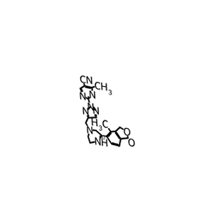 Cc1nc(-n2ncc(CN3CCN[C@H](c4ccc5c(c4C)COC5=O)C3)n2)ncc1C#N